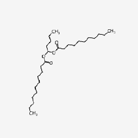 CCCCCCCCCCC(=O)OC(CCCC)OC(=O)CCCCCCCCCC